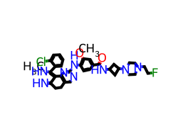 CN/C(=C1\C(=N)CCc2cnc(Nc3ccc(C(=O)NC4CC(N5CCN(CCF)CC5)C4)cc3OC)nc21)c1ccccc1Cl